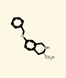 O=C(O)[C@@H]1Cc2ccc(OCc3ccccc3)cc2CN1